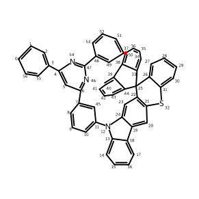 c1ccc(-c2cc(-c3cccc(-n4c5ccccc5c5cc6c(cc54)C4(c5ccccc5S6)c5ccccc5-c5ccccc54)c3)nc(-c3ccccc3)n2)cc1